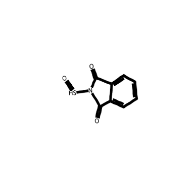 O=[SH]N1C(=O)c2ccccc2C1=O